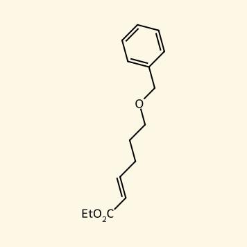 CCOC(=O)C=CCCCOCc1ccccc1